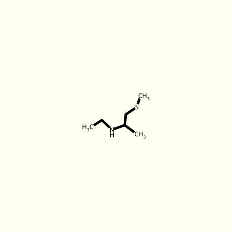 CCNC(C)CSC